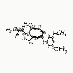 CCC1=CC(C)=CC(Cc2ccc(C)c3c2CC[C@H]3NC(C)F)C1